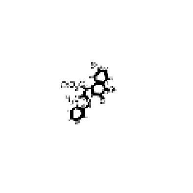 CCOC(=O)c1c2c(n(Cc3ccccc3)c1C)C(=O)C(=O)c1ccc(Br)cc1-2